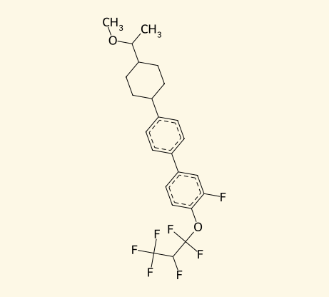 COC(C)C1CCC(c2ccc(-c3ccc(OC(F)(F)C(F)C(F)(F)F)c(F)c3)cc2)CC1